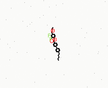 CCCCCc1ccc(-c2ccc(C(=O)Oc3ccc(COCC)c(F)c3F)cc2)cc1